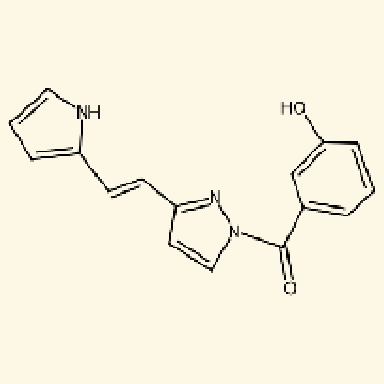 O=C(c1cccc(O)c1)n1ccc(/C=C/c2ccc[nH]2)n1